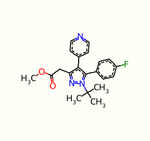 COC(=O)Cc1nn(C(C)(C)C)c(-c2ccc(F)cc2)c1-c1ccncc1